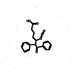 [N-]=[N+]=NC(CCCC(=O)O)C(C(=O)c1ccccc1)c1ccccc1